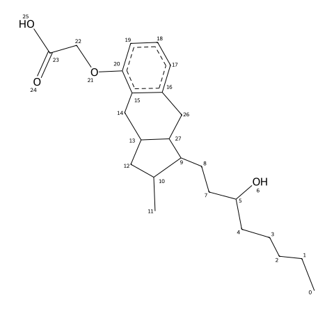 CCCCCC(O)CCC1C(C)CC2Cc3c(cccc3OCC(=O)O)CC21